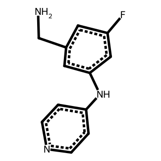 NCc1cc(F)cc(Nc2ccncc2)c1